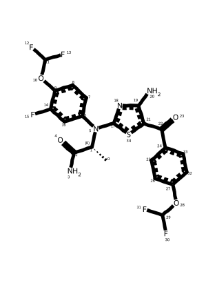 C[C@H](C(N)=O)N(c1ccc(OC(F)F)c(F)c1)c1nc(N)c(C(=O)c2ccc(OC(F)F)cc2)s1